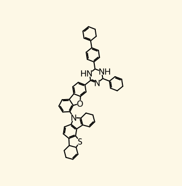 C1=CCCC(c2ccc(C3NC(c4ccc5c(c4)oc4c(-n6c7c(c8c9c(ccc86)C6CCC=CC6S9)C=CCC7)cccc45)=NC(C4=CCCC=C4)N3)cc2)=C1